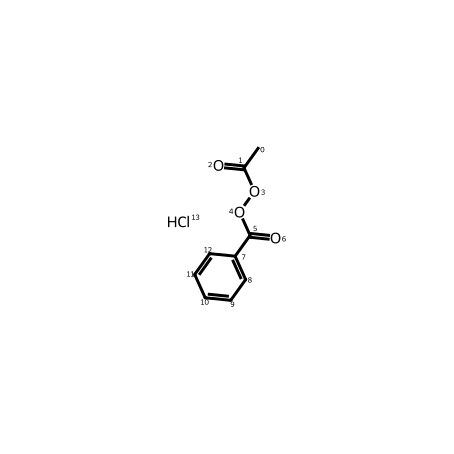 CC(=O)OOC(=O)c1ccccc1.Cl